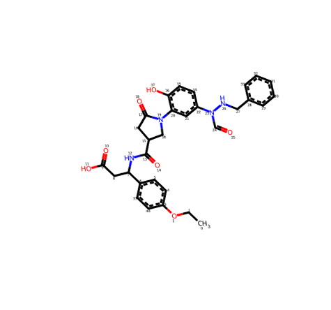 CCOc1ccc(C(CC(=O)O)NC(=O)C2CC(=O)N(c3cc(N(C=O)NCc4ccccc4)ccc3O)C2)cc1